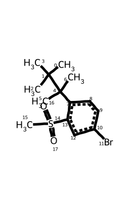 CC(C)(C)C(C)(C)c1ccc(Br)cc1S(C)(=O)=O